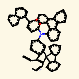 C=CC1=C(/C=C\C)C2(c3cc(N(c4ccc(-c5cccc6ccccc56)cc4)c4cccc5c6ccccc6c6ccccc6c45)ccc31)c1ccccc1-c1ccccc12